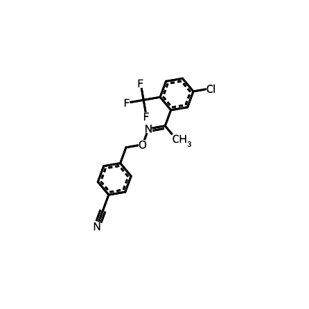 C/C(=N\OCc1ccc(C#N)cc1)c1cc(Cl)ccc1C(F)(F)F